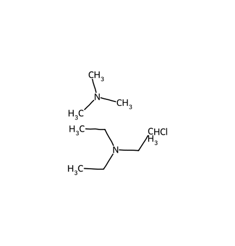 CCN(CC)CC.CN(C)C.Cl